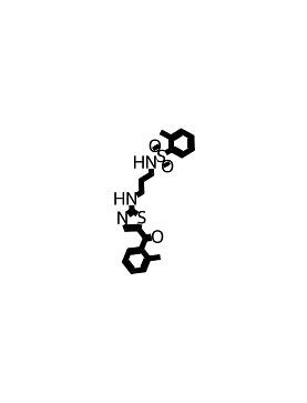 Cc1ccccc1C(=O)c1cnc(NCCCNS(=O)(=O)c2ccccc2C)s1